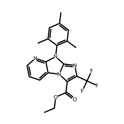 CCOC(=O)c1c(C(F)(F)F)nc2n(-c3c(C)cc(C)cc3C)c3ncccc3n12